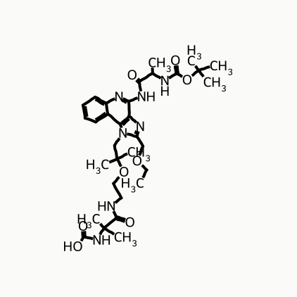 CCOCc1nc2c(NC(=O)C(C)NC(=O)OC(C)(C)C)nc3ccccc3c2n1CC(C)(C)OCCNC(=O)C(C)(C)NC(=O)O